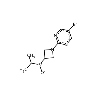 CC(C)[S+]([O-])C1CN(c2ncc(Br)cn2)C1